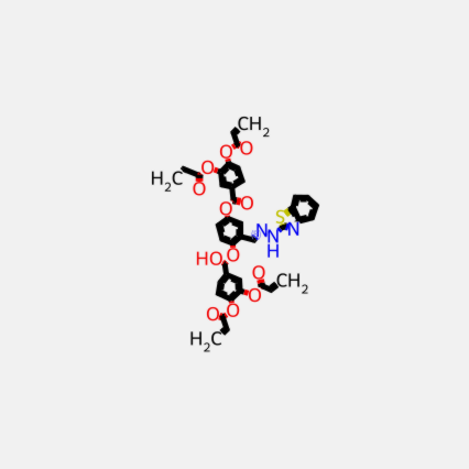 C=CC(=O)Oc1ccc(C(=O)Oc2ccc(OC(O)c3ccc(OC(=O)C=C)c(OC(=O)C=C)c3)c(/C=N/Nc3nc4ccccc4s3)c2)cc1OC(=O)C=C